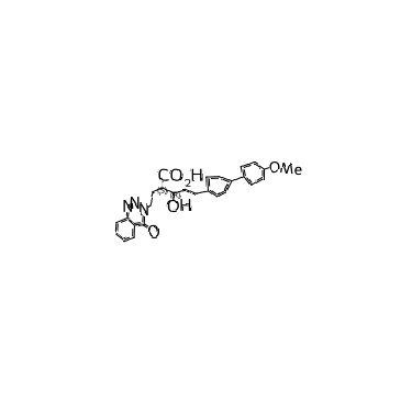 COc1ccc(-c2ccc(CC[C@@H](O)[C@H](CCn3nnc4ccccc4c3=O)C(=O)O)cc2)cc1